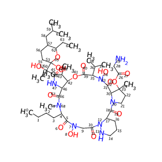 CCCCC1C(=O)N(O)CC(=O)N2NCCCC2C(=O)N2CCC(C)(OC(=O)CN)C2C(=O)N(O)C(C(C)C)C(=O)OC(C(C)C)C(NC(=O)C(C)(O)C2(O)CCC(CC(C)C)C(CC)O2)C(=O)N1C